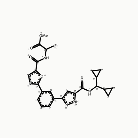 COC(=O)C(NC(=O)c1cnc(-c2cccc(-c3cc(C(=O)NC(C4CC4)C4CC4)[nH]n3)c2)o1)C(C)C